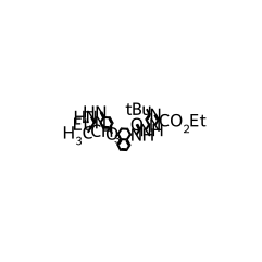 CCOC(=O)c1nc(NC(=O)NC2CCC(Oc3ccc(=N)n(C(=N)C(C)(C)CC)c3)c3ccccc32)cc(C(C)(C)C)n1